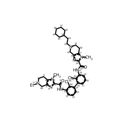 CCN1CCc2c(nc(C(=O)Nc3cccc(-c4cccc(NC(=O)c5nc6c(n5C)CCN(CCC5CCCCC5)C6)c4Cl)c3Cl)n2C)C1